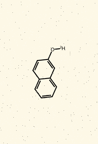 [2H]Oc1ccc2ccccc2c1